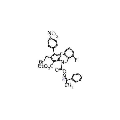 CCOC(=O)c1c(N(Cc2c(F)cccc2F)C(=O)O/N=C(/C)c2ccccc2)sc(-c2ccc([N+](=O)[O-])cc2)c1CBr